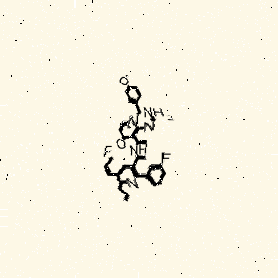 C=C(NC(C)c1cc(/C=C\CF)c(CCC)nc1-c1cccc(F)c1)c1c(/N=C\N)n(Cc2ccc(OC)cc2)ccc1=O